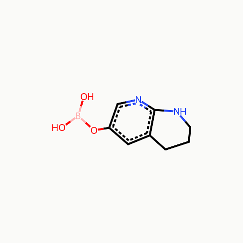 OB(O)Oc1cnc2c(c1)CCCN2